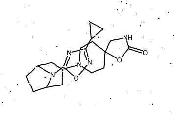 O=C1NCC2(CCN(C3CC4CCC(C3)N4c3nc(C4CC4)no3)CC2)O1